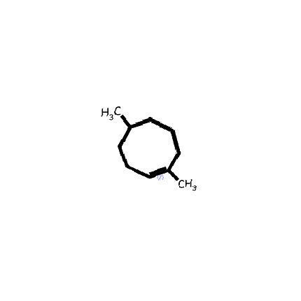 C/C1=C/CCC(C)CCC1